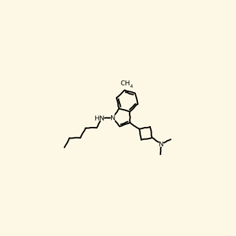 C.CCCCCNn1cc(C2CC(N(C)C)C2)c2ccccc21